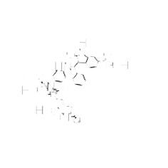 COC(=O)c1ccc2c(c1)NC(=O)/C2=C(\Nc1ccc(N(N(C)C)S(=O)(=O)CCC(C=C=O)N(C)C)cc1)c1ccccc1